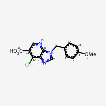 COc1ccc(Cn2cnc3c(Cl)c(C(=O)O)cnc32)cc1